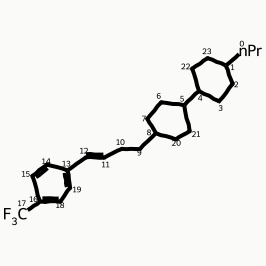 CCCC1CCC(C2CCC(CCC=Cc3ccc(C(F)(F)F)cc3)CC2)CC1